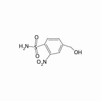 NS(=O)(=O)c1ccc(CO)cc1[N+](=O)[O-]